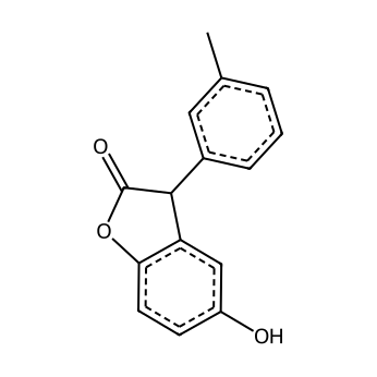 Cc1cccc(C2C(=O)Oc3ccc(O)cc32)c1